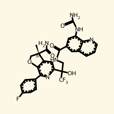 C[C@]1(C(N)=O)COc2c1cc(C(O)(CNC(=O)c1cc(NC(N)=O)c3ncccc3c1)C(F)(F)F)nc2-c1ccc(F)cc1